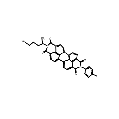 CC(CCCO)N1C(=O)c2ccc3c4ccc5c6c(ccc(c7ccc(c2c37)C1=O)c64)C(=O)N(c1ccc(F)cc1)C5=O